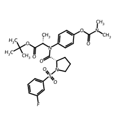 C[C@@H](C(=O)OC(C)(C)C)N(C(=O)[C@@H]1CCCN1S(=O)(=O)c1cccc(F)c1)c1ccc(OC(=O)N(C)C)cc1